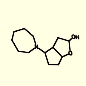 OC1CC2C(CCC2N2CCCCCC2)O1